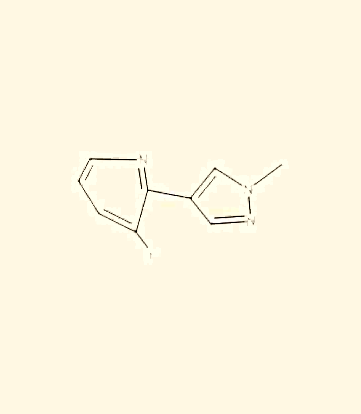 Cn1cc(-c2n[c]ccc2F)cn1